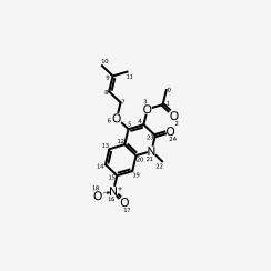 CC(=O)Oc1c(OCC=C(C)C)c2ccc([N+](=O)[O-])cc2n(C)c1=O